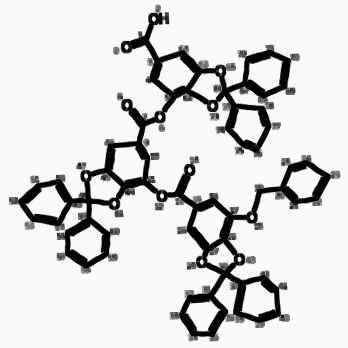 O=C(O)c1cc(OC(=O)c2cc(OC(=O)c3cc(OCc4ccccc4)c4c(c3)OC(c3ccccc3)(c3ccccc3)O4)c3c(c2)OC(c2ccccc2)(c2ccccc2)O3)c2c(c1)OC(c1ccccc1)(c1ccccc1)O2